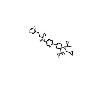 COC(=O)c1cc(-c2ccc(NC(=O)CCc3cncs3)cn2)ccc1N(CC1CC1)C(C)=O